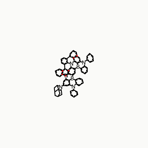 c1ccc(-c2cccc(-c3ccccc3)c2N2c3cc4c(cc3B3c5ccccc5N(c5ccccc5)c5cccc2c53)B2c3ccccc3N(c3ccccc3)c3cc(N5C6CC7CC(C6)CC5C7)cc(c32)N4c2ccccc2)cc1